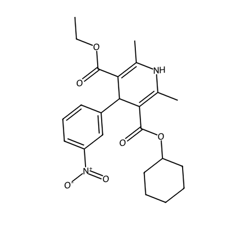 CCOC(=O)C1=C(C)NC(C)=C(C(=O)OC2CCCCC2)C1c1cccc([N+](=O)[O-])c1